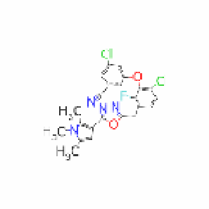 Cc1cc(-c2nnc(Cc3ccc(Cl)c(Oc4cc(Cl)cc(C#N)c4)c3F)o2)c(C)n1C